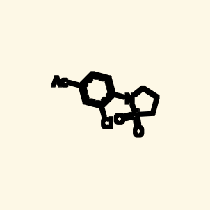 CC(=O)c1ccc(N2CCCS2(=O)=O)c(Cl)c1